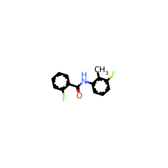 Cc1c(F)cccc1NC(=O)c1ccccc1F